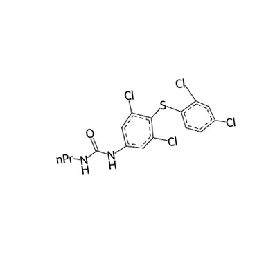 CCCNC(=O)Nc1cc(Cl)c(Sc2ccc(Cl)cc2Cl)c(Cl)c1